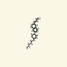 CCCCCC[C@H]1CC[C@H](c2ccc3c(c2)CCC(CCCC)C3)CC1